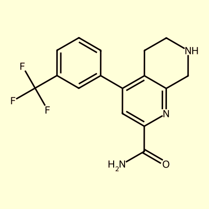 NC(=O)c1cc(-c2cccc(C(F)(F)F)c2)c2c(n1)CNCC2